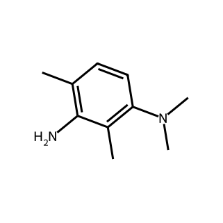 Cc1ccc(N(C)C)c(C)c1N